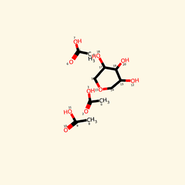 CC(=O)O.CC(=O)O.CC(=O)O.OC1COCC(O)C1O